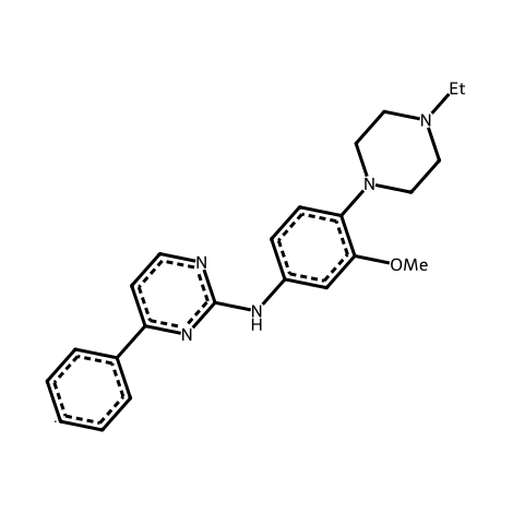 CCN1CCN(c2ccc(Nc3nccc(-c4cc[c]cc4)n3)cc2OC)CC1